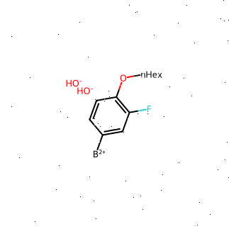 [B+2]c1ccc(OCCCCCC)c(F)c1.[OH-].[OH-]